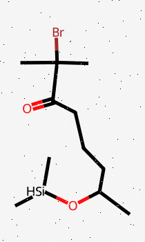 CC(CCCC(=O)C(C)(C)Br)O[SiH](C)C